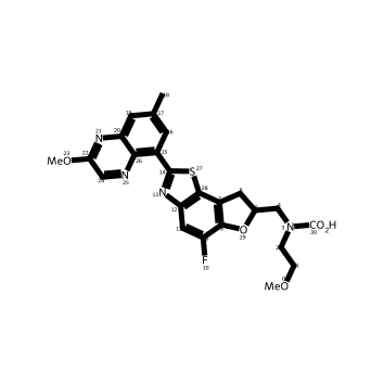 COCCN(CC1Cc2c(c(F)cc3nc(-c4cc(C)cc5nc(OC)cnc45)sc23)O1)C(=O)O